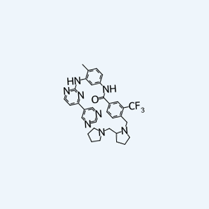 Cc1ccc(NC(=O)c2ccc(CN3CCCC3CN3CCCC3)c(C(F)(F)F)c2)cc1Nc1nccc(-c2cncnc2)n1